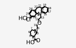 Cl.O=C(O)[C@@H]1CCCN(CCOCCN2c3ccccc3CCc3ccc(Cl)cc32)C1